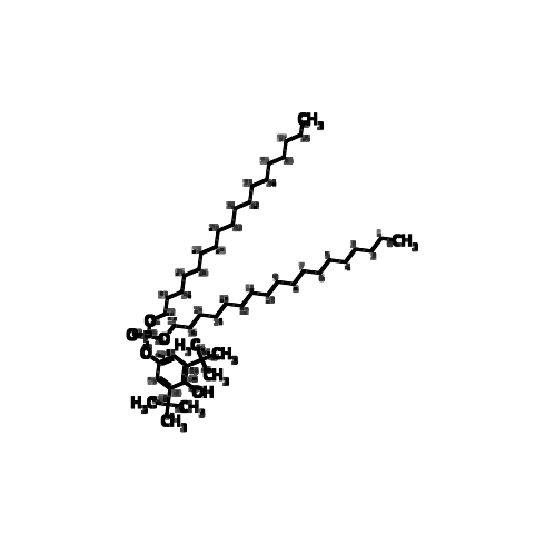 CCCCCCCCCCCCCCCCCCOP(=O)(OCCCCCCCCCCCCCCCCCC)Oc1cc(C(C)(C)C)c(O)c(C(C)(C)C)c1